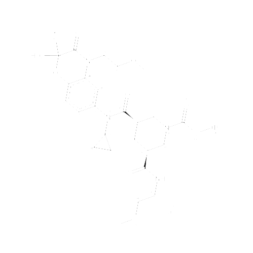 CCOCCN1C(=O)C(C)(C)Oc2ccc(N(C(=O)[C@@H]3C[C@H](C(=O)N[C@@H](COCC)C(C)C)CN(C(=O)OC(C)(C)C)C3)C3CC3)cc21